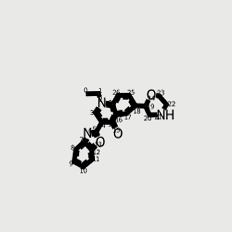 CCn1cc(-c2nc3ccccc3o2)c(=O)c2cc(C3CNCCO3)ccc21